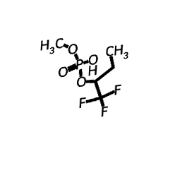 CCC(OP(=O)(O)OC)C(F)(F)F